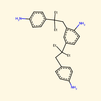 CCC(CC)(Cc1ccc(N)cc1)c1ccc(N)c(CC(CC)(CC)c2ccc(N)cc2)c1